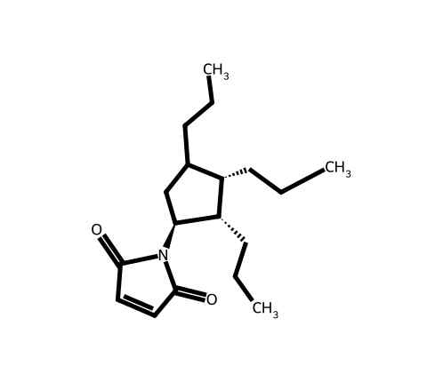 CCCC1C[C@H](N2C(=O)C=CC2=O)[C@@H](CCC)[C@H]1CCC